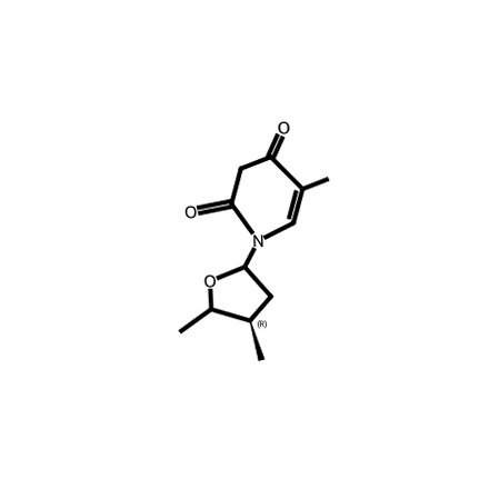 CC1=CN(C2C[C@@H](C)C(C)O2)C(=O)CC1=O